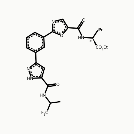 CCOC(=O)[C@@H](NC(=O)c1cnc(-c2cccc(-c3cc(C(=O)NC(C)C(F)(F)F)[nH]n3)c2)o1)C(C)C